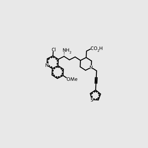 COc1ccc2ncc(Cl)c([C@H](N)CCC3CCN(CC#Cc4ccsc4)CC3CC(=O)O)c2c1